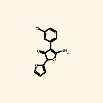 NC1=C(c2cccc(Cl)c2)C(=O)C(c2ccco2)O1